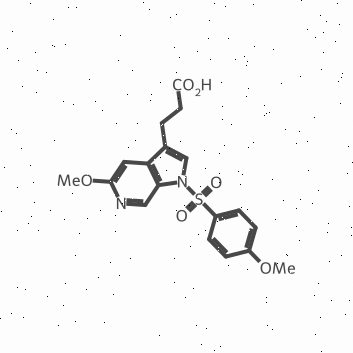 COc1ccc(S(=O)(=O)n2cc(CCC(=O)O)c3cc(OC)ncc32)cc1